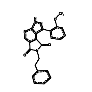 O=C1c2cnc3[nH]nc(-c4ccccc4OC(F)(F)F)c3c2C(=O)N1CCc1ccccc1